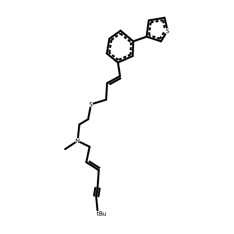 CN(C/C=C/C#CC(C)(C)C)CCSC/C=C/c1cccc(-c2ccsc2)c1